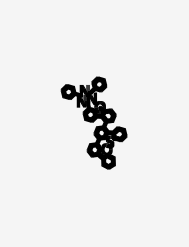 c1ccc(-c2nc(-c3ccccc3)nc(-c3cccc4c3oc3cccc(-c5ccc(-c6cccc7c6oc6ccccc67)c6sc7ccccc7c56)c34)n2)cc1